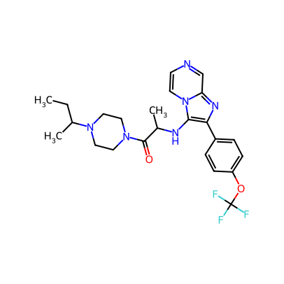 CCC(C)N1CCN(C(=O)C(C)Nc2c(-c3ccc(OC(F)(F)F)cc3)nc3cnccn23)CC1